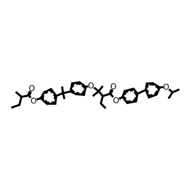 CCC(C)C(=O)Oc1ccc(C(C)(C)c2ccc(OC(C)(C)C(CC)C(=O)Oc3ccc(-c4ccc(OC(C)C)cc4)cc3)cc2)cc1